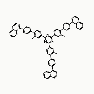 Cc1cc(-c2nc(-c3ccc(-c4ccc(-c5cccc6ccccc56)cc4)c(C)c3)nc(-c3ccc(-c4ccc(-c5cccc6ccccc56)cc4)c(C)c3)n2)ccc1-c1ccc(-c2cccc3ccccc23)cc1